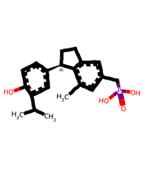 Cc1cc(CP(=O)(O)O)cc2c1[C@@H](c1ccc(O)c(C(C)C)c1)CC2